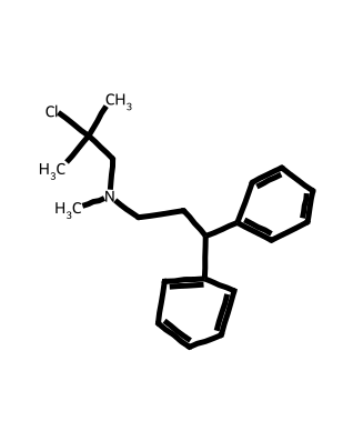 CN(CCC(c1ccccc1)c1ccccc1)CC(C)(C)Cl